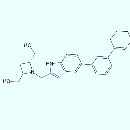 OCC1C[C@H](CO)N1Cc1cc2cc(-c3cccc(C4=CCCCC4)c3)ccc2[nH]1